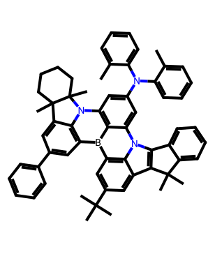 Cc1ccccc1N(c1cc2c3c(c1)-n1c4c(c5cc(C(C)(C)C)cc(c51)B3c1cc(-c3ccccc3)cc3c1N2C1(C)CCCCC31C)C(C)(C)c1ccccc1-4)c1ccccc1C